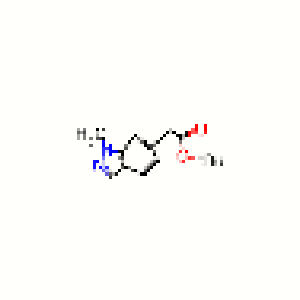 Cn1ncc2ccc(CC(=O)OC(C)(C)C)cc21